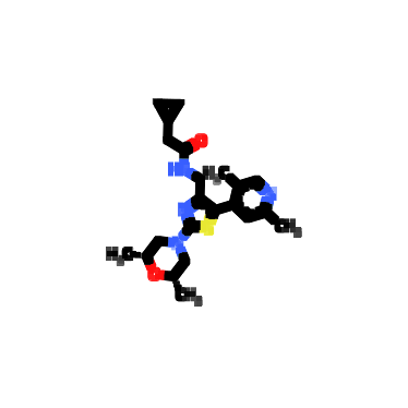 Cc1cc(-c2sc(N3C[C@@H](C)O[C@@H](C)C3)nc2CNC(=O)CC2CC2)c(C)cn1